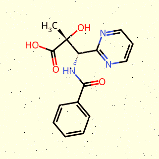 C[C@](O)(C(=O)O)[C@@H](NC(=O)c1ccccc1)c1ncccn1